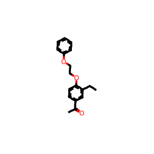 CCc1cc(C(C)=O)ccc1OCCOc1ccccc1